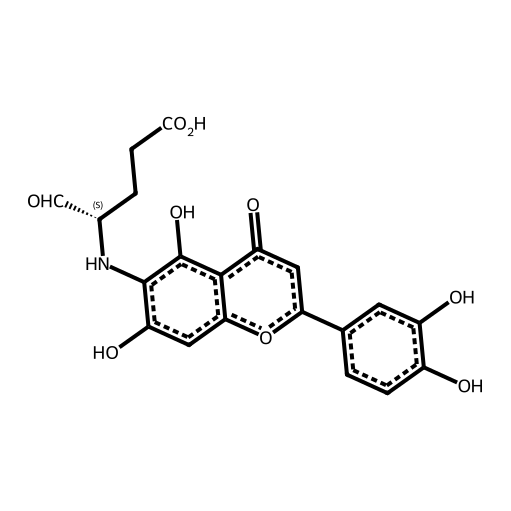 O=C[C@H](CCC(=O)O)Nc1c(O)cc2oc(-c3ccc(O)c(O)c3)cc(=O)c2c1O